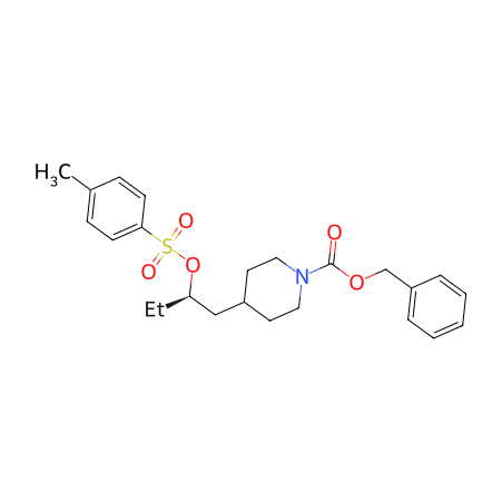 CC[C@H](CC1CCN(C(=O)OCc2ccccc2)CC1)OS(=O)(=O)c1ccc(C)cc1